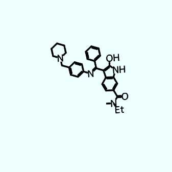 CCN(C)C(=O)c1ccc2c(C(=Nc3ccc(CN4CCCCC4)cc3)c3ccccc3)c(O)[nH]c2c1